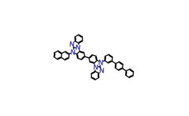 c1ccc(-c2ccc(-c3cccc(-n4c5ccc(-c6ccc7c(c6)n6c8ccccc8nc6n7-c6ccc7ccccc7c6)cc5n5c6ccccc6nc45)c3)cc2)cc1